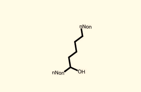 CCCCCCCCCCCCCC(O)CCCCCCCCC